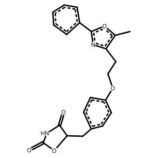 Cc1oc(-c2ccccc2)nc1CCOc1ccc(CC2OC(=O)NC2=O)cc1